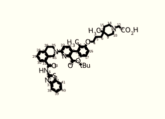 Cc1c(OCCCC2(C)CCN(CC(=O)O)CC2)cccc1-c1ccc(N2CCc3cccc(C(=O)Nc4nc5ccccc5s4)c3C2)nc1C(=O)OC(C)(C)C